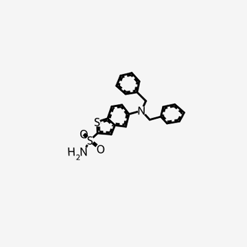 NS(=O)(=O)c1cc2cc(N(Cc3ccccc3)Cc3ccccc3)ccc2s1